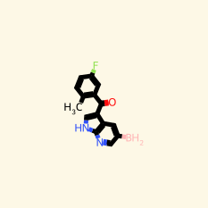 Bc1cnc2[nH]cc(C(=O)c3cc(F)ccc3C)c2c1